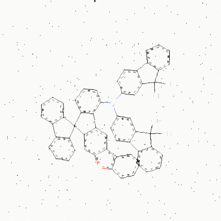 CC1(C)c2ccccc2-c2ccc(N(c3ccc4c(c3)C(C)(C)c3ccccc3-4)c3cccc4c3-c3cc5c(cc3C43c4ccccc4-c4ccccc43)oc3ccccc35)cc21